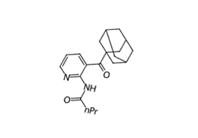 CCCC(=O)Nc1ncccc1C(=O)C12CC3CC(CC(C3)C1)C2